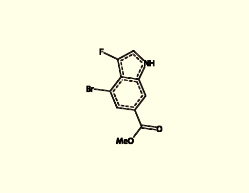 COC(=O)c1cc(Br)c2c(F)c[nH]c2c1